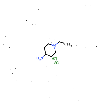 CCN1CCC(N)CC1.Cl.Cl